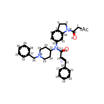 CC(=O)CC(=O)N1CCc2ccc(N(C(=O)/C=C/c3ccccc3)C3CCN(Cc4ccccc4)CC3)cc21